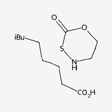 CCC(C)CCCCC(=O)O.O=C1OCCNS1